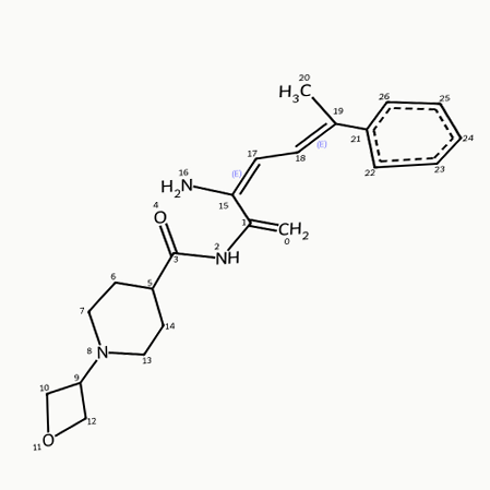 C=C(NC(=O)C1CCN(C2COC2)CC1)/C(N)=C\C=C(/C)c1ccccc1